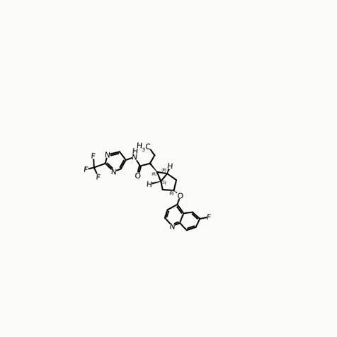 CCC(C(=O)Nc1cnc(C(F)(F)F)nc1)[C@H]1[C@@H]2C[C@H](Oc3ccnc4ccc(F)cc34)C[C@@H]21